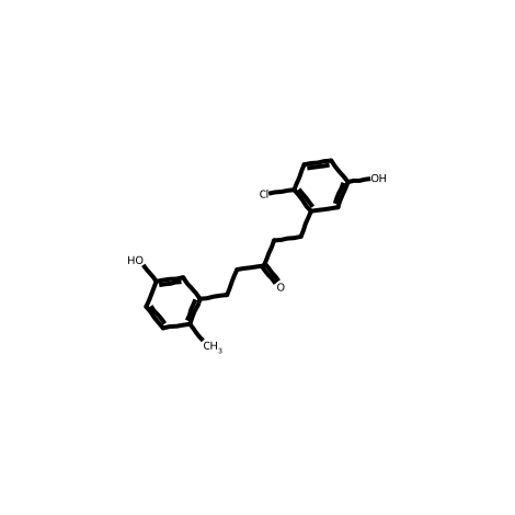 Cc1ccc(O)cc1CCC(=O)CCc1cc(O)ccc1Cl